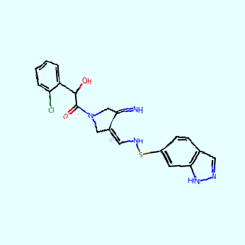 N=C1CN(C(=O)C(O)c2ccccc2Cl)C/C1=C/NSc1ccc2cn[nH]c2c1